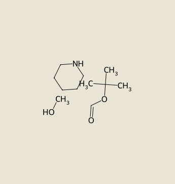 C1CCNCC1.CC(C)(C)OC=O.CO